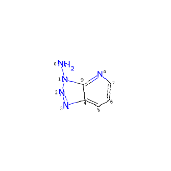 Nn1nnc2cccnc21